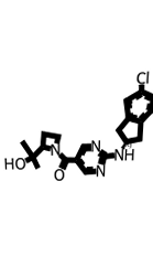 CC(C)(O)C1CCN1C(=O)c1cnc(N[C@@H]2Cc3ccc(Cl)cc3C2)nc1